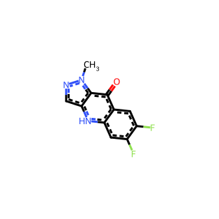 Cn1ncc2[nH]c3cc(F)c(F)cc3c(=O)c21